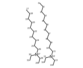 CCCCCCCCCCCCN(CC)CC.CCCCCCCCCCN(CC)CC